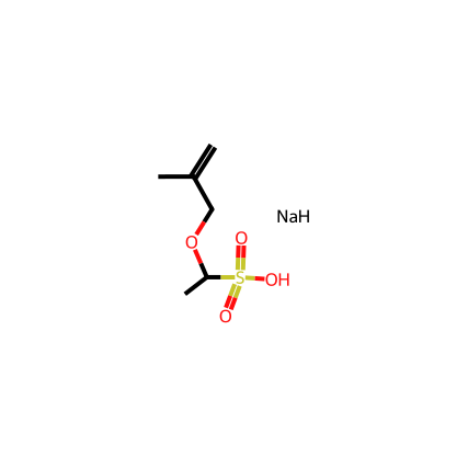 C=C(C)COC(C)S(=O)(=O)O.[NaH]